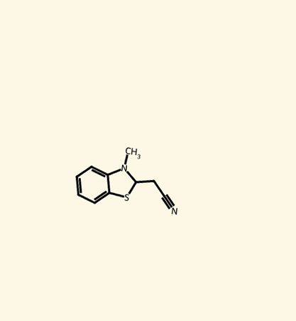 CN1c2ccccc2SC1CC#N